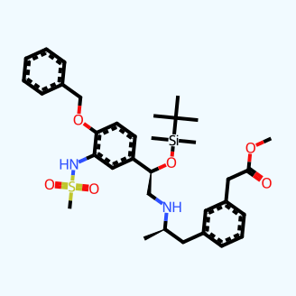 COC(=O)Cc1cccc(C[C@@H](C)NC[C@H](O[Si](C)(C)C(C)(C)C)c2ccc(OCc3ccccc3)c(NS(C)(=O)=O)c2)c1